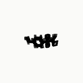 C=Cc1ccc(S(=O)(=O)C(C)Cl)cc1